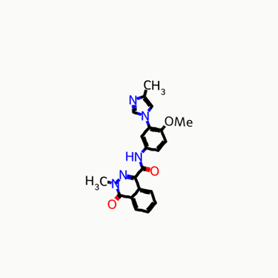 COc1ccc(NC(=O)c2nn(C)c(=O)c3ccccc23)cc1-n1cnc(C)c1